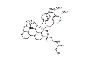 CCOC(=O)c1cc2cccc(-c3ccc(S(=O)(=O)CCNC(=O)OC(C)(C)C)c(S(=O)(=O)N(Cc4ccc(OC)cc4)Cc4ccc(OC)cc4)c3-c3nnnn3Cc3ccc(OC)cc3)c2[nH]1